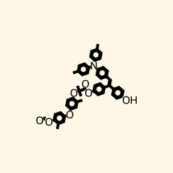 Cc1ccc(N(c2ccc(C)cc2)c2ccc(C=C(c3ccc(O)cc3)c3ccc(OC(=O)C(C)(C)Oc4ccc(Oc5ccc(OC=O)c(C)c5)cc4C)cc3)cc2)cc1